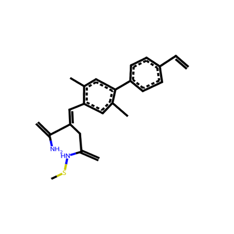 C=Cc1ccc(-c2cc(C)c(/C=C(\CC(=C)NSC)C(=C)N)cc2C)cc1